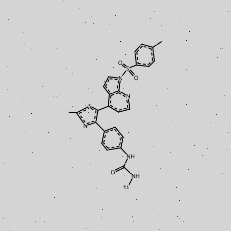 CCNC(=O)Nc1ccc(-c2nc(C)sc2-c2ccnc3c2ccn3S(=O)(=O)c2ccc(C)cc2)cc1